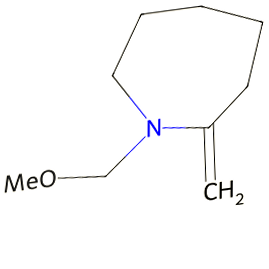 C=C1CCCCCN1COC